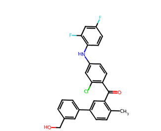 Cc1ccc(-c2cccc(CO)c2)cc1C(=O)c1ccc(Nc2ccc(F)cc2F)cc1Cl